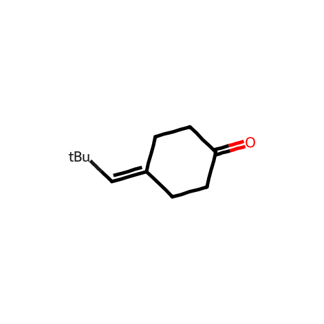 CC(C)(C)C=C1CCC(=O)CC1